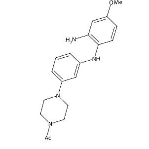 COc1ccc(Nc2cccc(N3CCN(C(C)=O)CC3)c2)c(N)c1